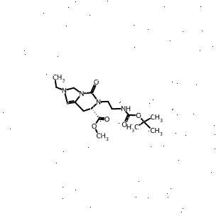 CCN1C=C2C[C@@H](C(=O)OC)N(CCNC(=O)OC(C)(C)C)C(=O)N2C1